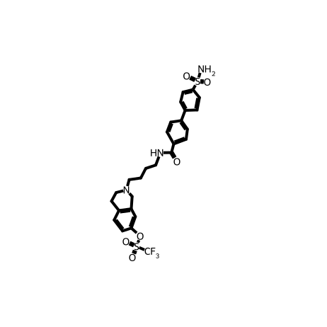 NS(=O)(=O)c1ccc(-c2ccc(C(=O)NCCCCN3CCc4ccc(OS(=O)(=O)C(F)(F)F)cc4C3)cc2)cc1